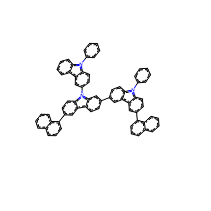 c1ccc(-n2c3ccc(-c4ccc5c6cc(-c7cccc8ccccc78)ccc6n(-c6ccc7c(c6)c6ccccc6n7-c6ccccc6)c5c4)cc3c3cc(-c4cccc5ccccc45)ccc32)cc1